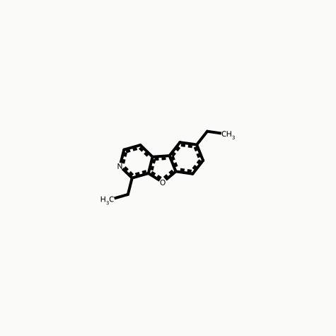 CCc1ccc2oc3c(CC)nccc3c2c1